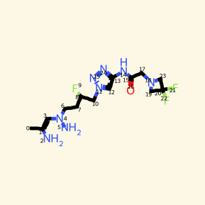 C/C(N)=C/N(N)CCC(F)Cn1cc(NC(=O)CN2CC(F)(F)C2)nn1